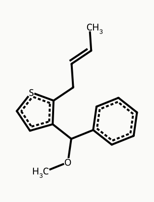 CC=CCc1sccc1C(OC)c1ccccc1